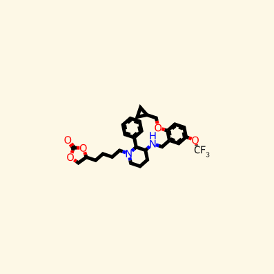 O=C1OCC(CCCCN2CCCC(NCc3cc(OC(F)(F)F)ccc3OCC3CC3)C2c2ccccc2)O1